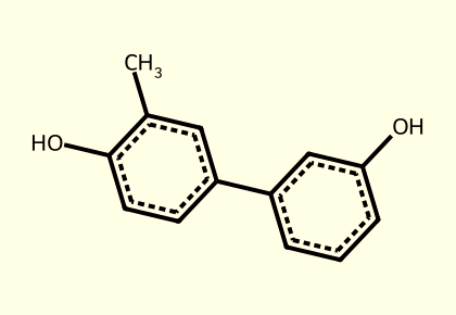 Cc1cc(-c2cccc(O)c2)ccc1O